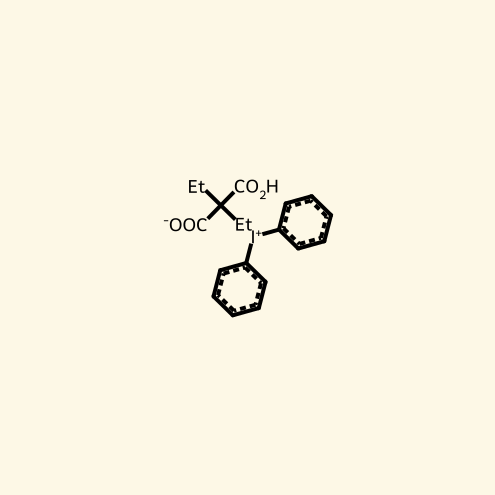 CCC(CC)(C(=O)[O-])C(=O)O.c1ccc([I+]c2ccccc2)cc1